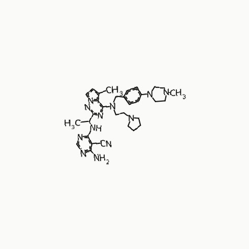 Cc1ccn2nc(C(C)Nc3ncnc(N)c3C#N)nc(N(CCN3CCCC3)Cc3ccc(N4CCN(C)CC4)cc3)c12